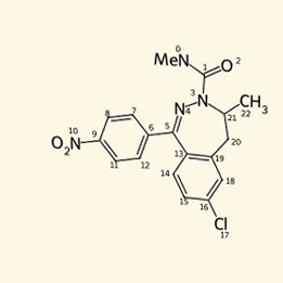 CNC(=O)N1N=C(c2ccc([N+](=O)[O-])cc2)c2ccc(Cl)cc2CC1C